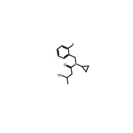 CC(S)CC(=O)N(Cc1ccccc1F)C1CC1